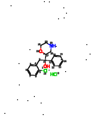 Cl.OC(Cc1ccccc1Cl)(c1ccccc1)C1CNCCO1